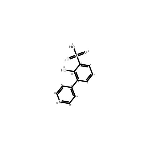 O=S(=O)(O)c1cccc(-c2ccncc2)c1O